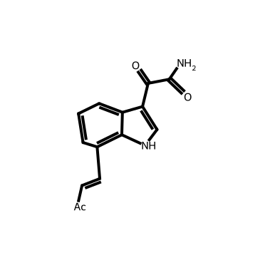 CC(=O)/C=C/c1cccc2c(C(=O)C(N)=O)c[nH]c12